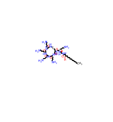 CCCCCCCCCCC[C@@H](O)CC(=O)NCC(=O)N[C@@H](CCCCN)C(=O)N[C@@H]1CCCCNC(=O)[C@H](CCCCN)NC(=O)[C@@H](CCCCN)NC(=O)[C@@H](CCCCN)NC(=O)[C@H](CCCCN)NC1=O